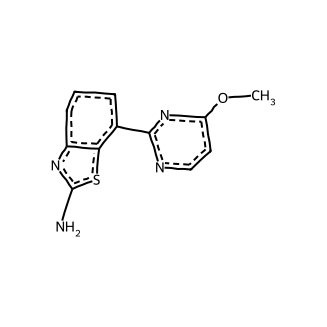 COc1ccnc(-c2cccc3nc(N)sc23)n1